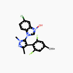 COc1cc(F)c(-c2c(C)nn(C)c2-n2c[n+](O)c3cc(Cl)ccc32)c(F)c1